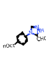 CCCCCCCCc1ccc(N2C=NNC2C=O)cc1